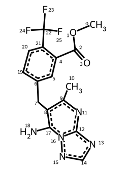 COC(=O)c1cc(Cc2c(C)nc3ncnn3c2N)ccc1C(F)(F)F